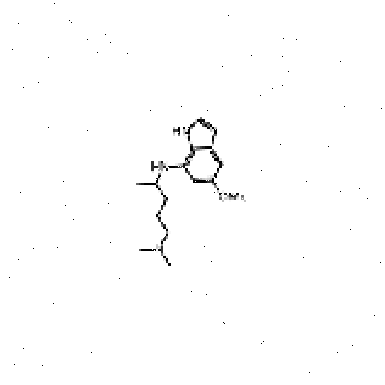 COc1cc(NC(C)CCCN(C)C)c2[nH]ccc2c1